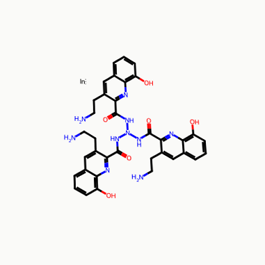 NCCc1cc2cccc(O)c2nc1C(=O)NN(NC(=O)c1nc2c(O)cccc2cc1CCN)NC(=O)c1nc2c(O)cccc2cc1CCN.[In]